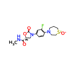 CNC(=O)[C@H]1CN(c2ccc(N3CCC[S+]([O-])CC3)c(F)c2)C(=O)O1